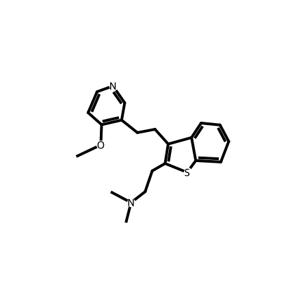 COc1ccncc1CCc1c(CCN(C)C)sc2ccccc12